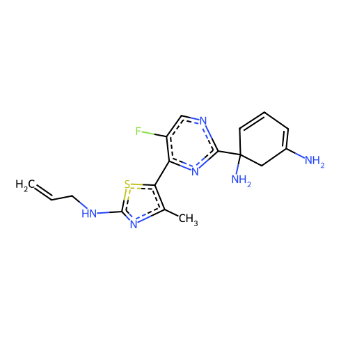 C=CCNc1nc(C)c(-c2nc(C3(N)C=CC=C(N)C3)ncc2F)s1